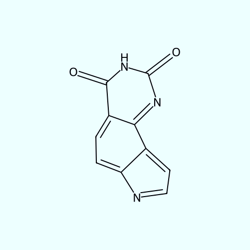 O=C1N=c2c(ccc3c2=CC=N3)C(=O)N1